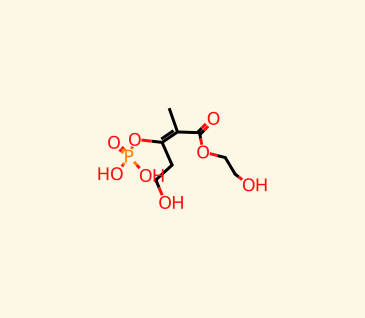 CC(C(=O)OCCO)=C(CCO)OP(=O)(O)O